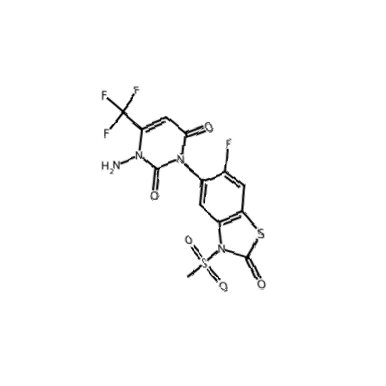 CS(=O)(=O)n1c(=O)sc2cc(F)c(-n3c(=O)cc(C(F)(F)F)n(N)c3=O)cc21